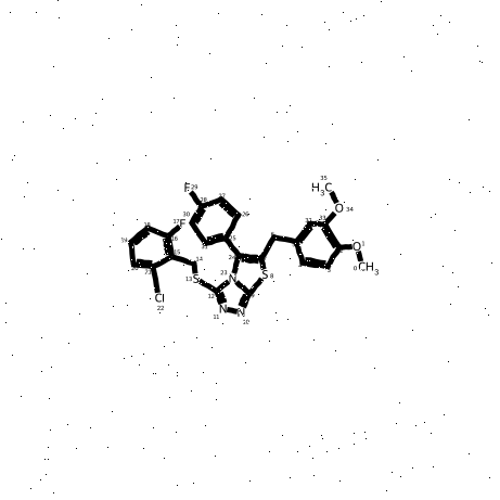 COc1ccc(Cc2sc3nnc(SCc4c(F)cccc4Cl)n3c2-c2ccc(F)cc2)cc1OC